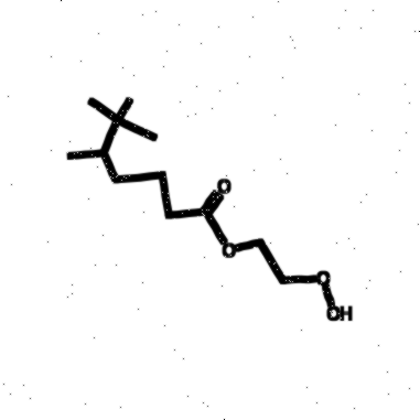 CC(CCCC(=O)OCCOO)C(C)(C)C